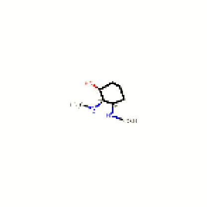 O=C(O)N[C@H]1[C@@H](O)CCC[C@H]1NC(=O)O